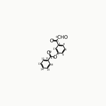 O=CC(=O)c1cccc(OC(=O)c2ccccc2)c1